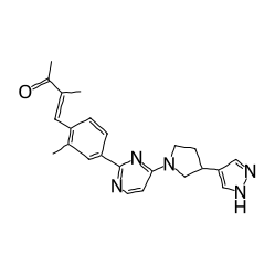 CC(=O)/C(C)=C/c1ccc(-c2nccc(N3CCC(c4cn[nH]c4)C3)n2)cc1C